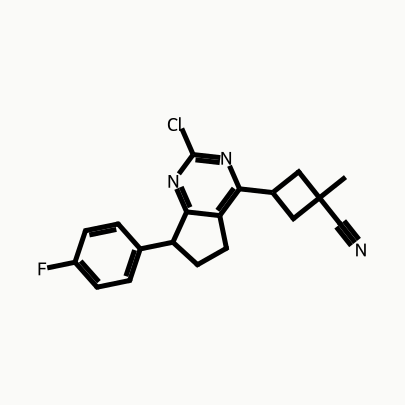 CC1(C#N)CC(c2nc(Cl)nc3c2CCC3c2ccc(F)cc2)C1